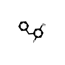 CC(C)c1ccc(F)c(Cc2ccccc2)c1